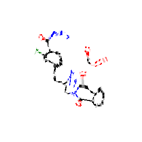 NC(=O)c1ccc(CC(N)CN2C(=O)c3ccccc3C2=O)cc1F.O=CO